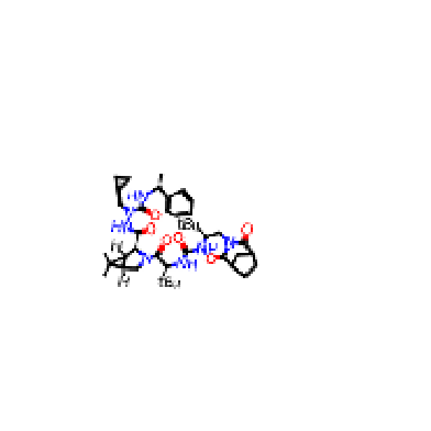 C[C@H](NC(=O)N(CC1CC1)NC(=O)[C@@H]1[C@@H]2[C@H](CN1C(=O)[C@@H](NC(=O)N[C@H](CN1C(=O)C3CCC(C3)C1=O)C(C)(C)C)C(C)(C)C)C2(C)C)c1ccccc1